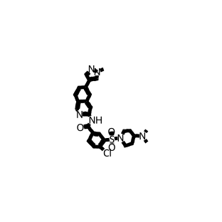 CN(C)C1CCN(S(=O)(=O)c2cc(C(=O)Nc3cc4cc(-c5cnn(C)c5)ccc4cn3)ccc2Cl)CC1